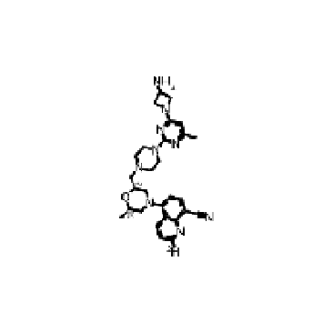 [2H]c1ccc2c(N3C[C@H](CN4CCN(c5nc(C)cc(N6CC(N)C6)n5)CC4)O[C@H](C)C3)ccc(C#N)c2n1